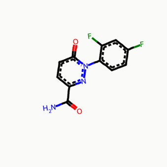 NC(=O)c1ccc(=O)n(-c2ccc(F)cc2F)n1